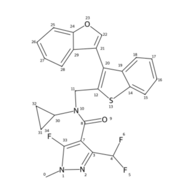 Cn1nc(C(F)F)c(C(=O)N(Cc2sc3ccccc3c2-c2coc3ccccc23)C2CC2)c1F